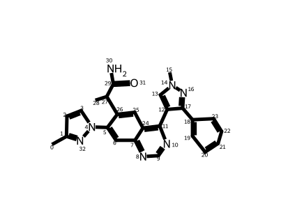 Cc1ccn(-c2cc3ncnc(-c4cn(C)nc4-c4ccccc4)c3cc2C(C)C(N)=O)n1